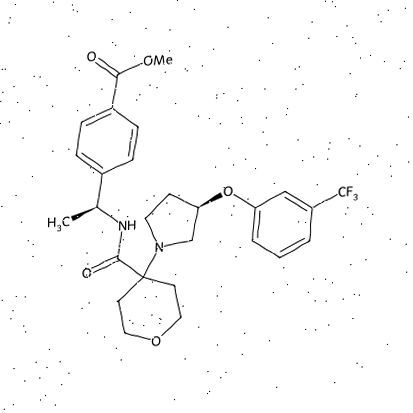 COC(=O)c1ccc([C@H](C)NC(=O)C2(N3CC[C@@H](Oc4cccc(C(F)(F)F)c4)C3)CCOCC2)cc1